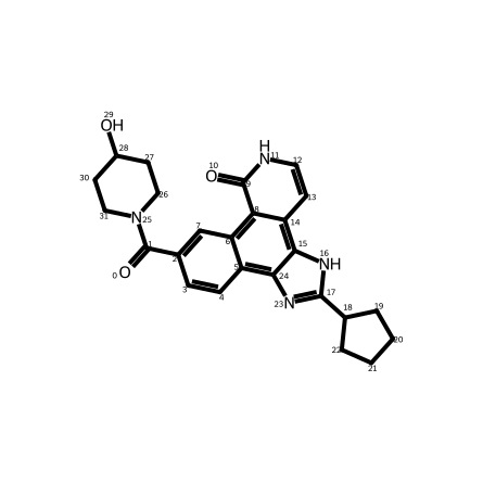 O=C(c1ccc2c(c1)c1c(=O)[nH]ccc1c1[nH]c(C3CCCC3)nc21)N1CCC(O)CC1